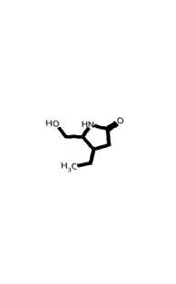 CCC1CC(=O)NC1CO